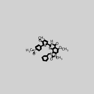 COc1ccc(-c2nc3c(c(OC)cc4c3n(Cc3ccccc3)c(=O)n4C)c(=O)[nH]2)nc1-c1ccc([S+](C)[O-])cc1